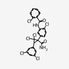 NC(=O)C1(c2ccc(Cl)c(NC(=O)c3ccccc3Cl)c2)C(c2cc(Cl)cc(Cl)c2)C1(Cl)Cl